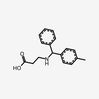 Cc1ccc(C(NCCC(=O)O)c2ccccc2)cc1